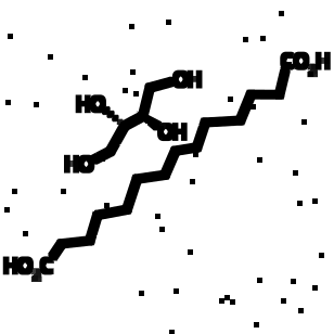 O=C(O)CCCCCCCCCCCCC(=O)O.OC[C@@H](O)[C@@H](O)CO